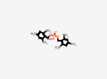 COP(=O)(OCc1c([N+](=O)[O-])cc(C)cc1[N+](=O)[O-])OCc1c([N+](=O)[O-])cc(C)cc1[N+](=O)[O-]